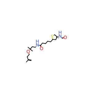 C=C(C)CCOC(C)(C)CCNC(=O)CCCCC1C[C@@H](NC=O)CS1